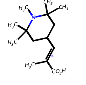 C/C(=C\C1CC(C)(C)N(C)C(C)(C)C1)C(=O)O